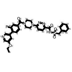 CCOc1cncc(-c2ccc(C(=O)N3CCN(c4ccc(C(=O)NS(=O)(=O)Cc5ccccc5)nn4)CC3)cc2F)c1